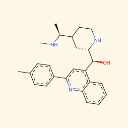 CN[C@@H](C)C1CCN[C@H]([C@@H](O)c2cc(-c3ccc(C)cc3)nc3ccccc23)C1